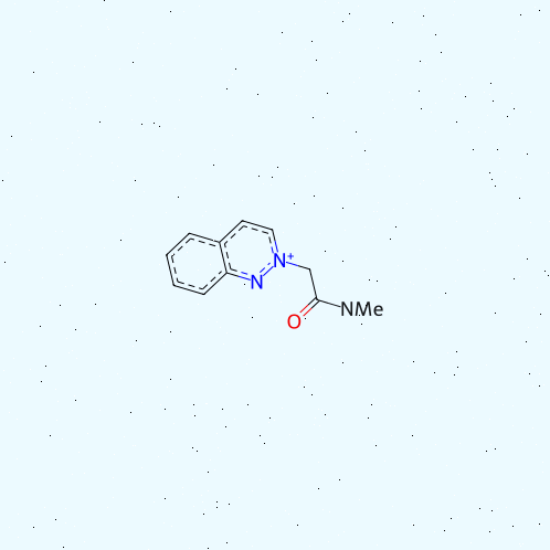 CNC(=O)C[n+]1ccc2ccccc2n1